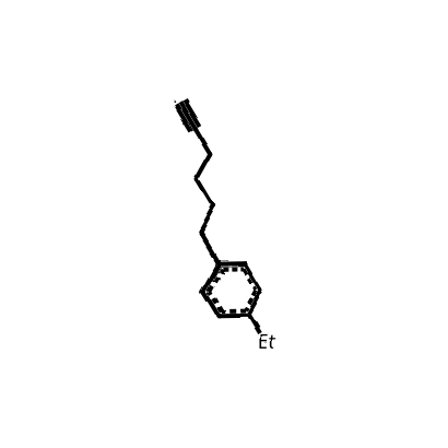 [C]#CCCCCc1ccc(CC)cc1